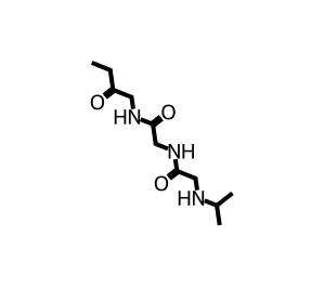 CCC(=O)CNC(=O)CNC(=O)CNC(C)C